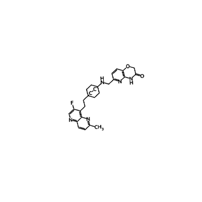 Cc1ccc2ncc(F)c(CCC34CCC(NCc5ccc6c(n5)NC(=O)CO6)(CC3)CC4)c2n1